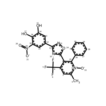 Cc1cc(C(F)(F)F)c(-c2nc(-c3cc(O)c(O)c([N+](=O)[O-])c3)no2)c(-c2ccccc2)[n+]1[O-]